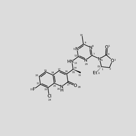 CC[C@H]1COC(=O)N1c1nc(C)nc(N[C@@H](C)c2cc3ccc(F)c(Cl)c3[nH]c2=O)n1